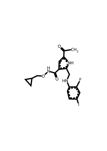 CC(=O)c1cc(C(=O)NOCC2CC2)c(CNc2ccc(I)cc2F)[nH]1